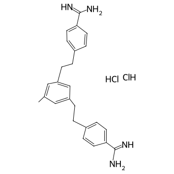 Cc1cc(CCc2ccc(C(=N)N)cc2)cc(CCc2ccc(C(=N)N)cc2)c1.Cl.Cl